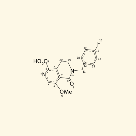 COc1cnc(C(=O)O)c2c1C(=O)N(Cc1ccc(F)cc1)CC2